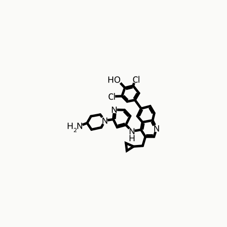 NC1CCN(c2cc(Nc3c(CC4CC4)cnc4ccc(-c5cc(Cl)c(O)c(Cl)c5)cc34)ccn2)CC1